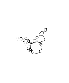 CN1CCCCCCCCN2CCCCc3cc(Cl)ccc3COc3ccc(cc32)[C@@](O)(COCC(=O)O)CC1=O